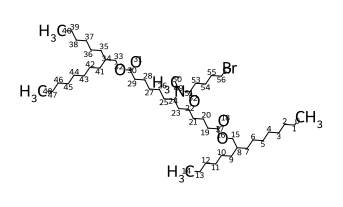 CCCCCCCCC(CCCCCC)COC(=O)CCCCCC(CCCCCC(=O)OCC(CCCCCC)CCCCCCCC)N(C)C(=O)CCCCBr